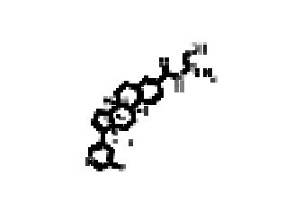 C[C@@H](CO)NC(=O)c1ccc2c(c1)CC[C@@H]1[C@@H]2CC[C@]2(C)C(c3cncc(F)c3)=CC[C@@H]12